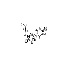 CCC#CCn1nc(-c2ccc(Cl)cc2)ncc1=O